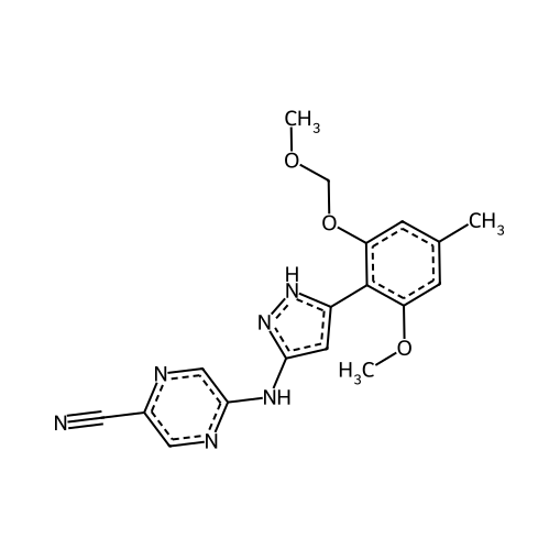 COCOc1cc(C)cc(OC)c1-c1cc(Nc2cnc(C#N)cn2)n[nH]1